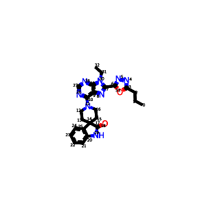 CCCc1nnc(-c2nc3c(N4CCC5(CC4)C(=O)Nc4ccccc45)ncnc3n2CC)o1